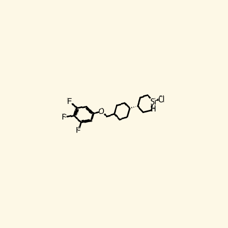 Fc1cc(OCC2CCC([C@H]3CC[Si@H](Cl)CC3)CC2)cc(F)c1F